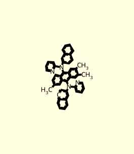 Cc1ccc2c(N(c3ccc4ccccc4c3)c3ccccn3)c3cc(C)c(C)cc3c(N(c3ccc4ccccc4c3)c3ccccn3)c2c1